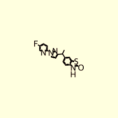 CC(c1ccc2[nH]c(=O)sc2c1)c1ccn(-c2ccc(F)cn2)n1